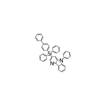 c1ccc(-c2ccc([Si](c3ccccc3)(c3ccccc3)c3cnc4c5ccccc5n(-c5ccccc5)c4c3)cc2)cc1